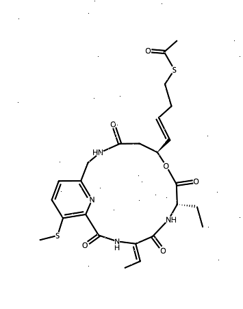 C/C=C1\NC(=O)c2nc(ccc2SC)CNC(=O)C[C@@H](/C=C/CCSC(C)=O)OC(=O)[C@H](CC)NC1=O